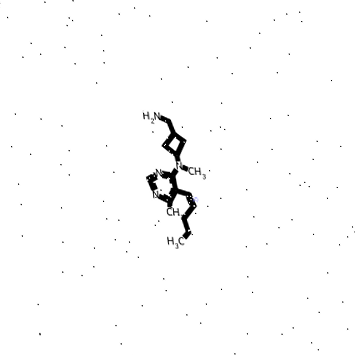 CCC/C=C\c1c(C)ncnc1N(C)C1CC(CN)C1